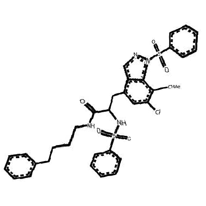 COc1c(Cl)cc(CC(NS(=O)(=O)c2ccccc2)C(=O)NCCCCc2ccccc2)c2cnn(S(=O)(=O)c3ccccc3)c12